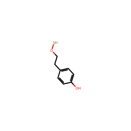 Oc1ccc(CCOS)cc1